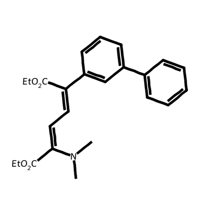 CCOC(=O)C(=CC=C(C(=O)OCC)N(C)C)c1cccc(-c2ccccc2)c1